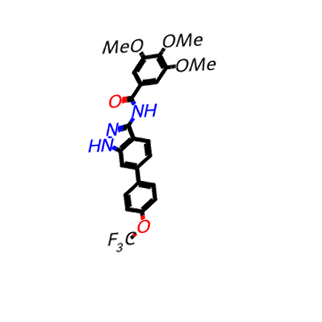 COc1cc(C(=O)Nc2n[nH]c3cc(-c4ccc(OC(F)(F)F)cc4)ccc23)cc(OC)c1OC